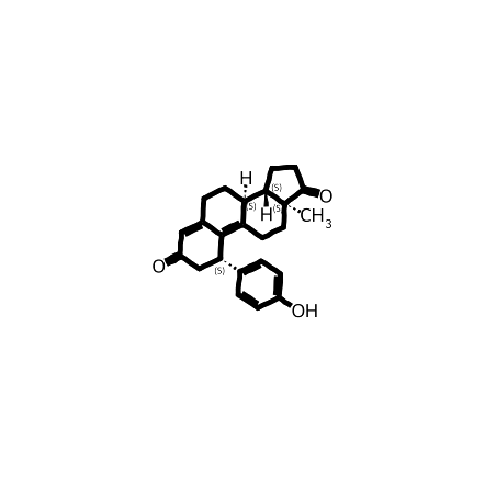 C[C@]12CCC3=C4C(=CC(=O)C[C@H]4c4ccc(O)cc4)CC[C@H]3[C@@H]1CCC2=O